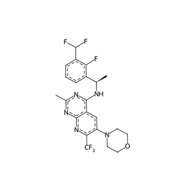 Cc1nc(N[C@H](C)c2cccc(C(F)F)c2F)c2cc(N3CCOCC3)c(C(F)(F)F)nc2n1